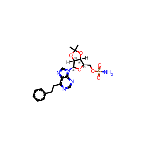 CC1(C)O[C@@H]2[C@H](O1)[C@@H](COS(N)(=O)=O)O[C@H]2n1cnc2c(CCc3ccccc3)ncnc21